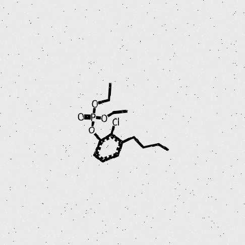 CCCCc1cccc(OP(=O)(OCC)OCC)c1Cl